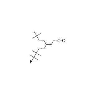 CC(C)(C)CC/C(=C\C=C=O)CCC(C)(C)C(C)(C)F